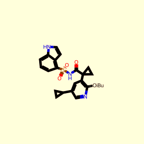 CC(C)COc1ncc(C2CC2)cc1C1(C(=O)NS(=O)(=O)c2cccc3[nH]ccc23)CC1